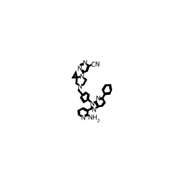 N#Cc1cc(N2CCN(Cc3ccc(-n4c(-c5cccnc5N)nc5ccc(-c6ccccc6)nc54)cc3)CC23CC3)ncn1